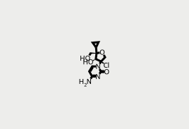 Nc1ccn([C@@]2(Cl)CO[C@@](CO)(C3CC3)[C@H]2O)c(=O)n1